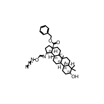 CC1(C)[C@@H](O)CC[C@]2(C)[C@H]3CC[C@@H]4[C@H]5[C@H](N=CON=[N+]=[N-])CC[C@]5(C(=O)OCc5ccccc5)CC[C@@]4(C)[C@]3(C)CC[C@@H]12